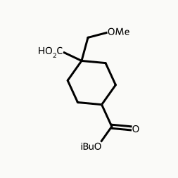 COCC1(C(=O)O)CCC(C(=O)OCC(C)C)CC1